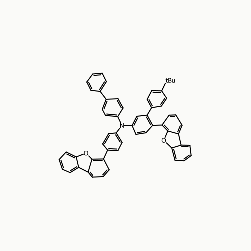 CC(C)(C)c1ccc(-c2cc(N(c3ccc(-c4ccccc4)cc3)c3ccc(-c4cccc5c4oc4ccccc45)cc3)ccc2-c2cccc3c2oc2ccccc23)cc1